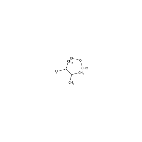 CC(C)C(C)C.CCOC=O